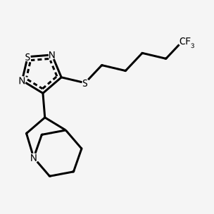 FC(F)(F)CCCCSc1nsnc1C1CN2CCCC1C2